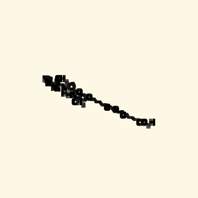 C[C@H](NC(=O)c1cccc(NCc2nnc(-c3ccncn3)n2C)c1)c1ccc(OCCCCCCOCCOCCOCCCCCC(=O)O)cc1